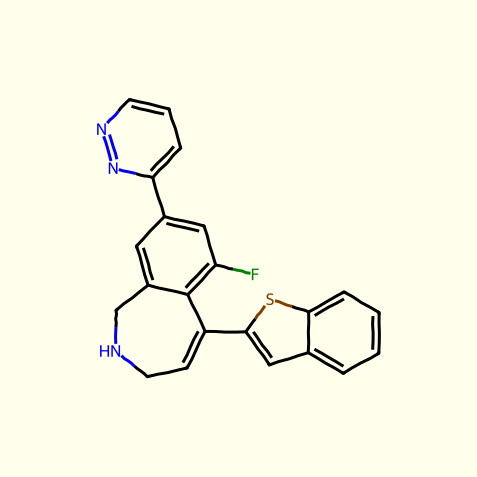 Fc1cc(-c2cccnn2)cc2c1C(c1cc3ccccc3s1)=CCNC2